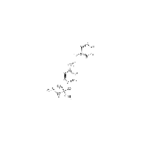 CC(C)(OC=O)Oc1ccc(NCCc2ccccc2)cc1